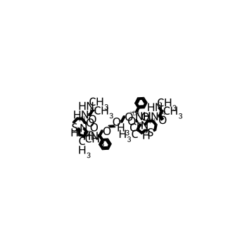 CN[C@@H](C)C(=O)N[C@H]1CCS[C@H]2CC(C)(C)[C@@H](C(=O)NC(COCCOCCOC[C@@H](NC(=O)[C@H]3N4C(=O)[C@@H](NC(=O)[C@H](C)NC)CCS[C@H]4CC3(C)C)c3ccccc3)c3ccccc3)N2C1=O